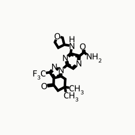 CC1(C)CC(=O)c2c(C(F)(F)F)nn(-c3cnc(C(N)=O)c(NC4CCOC4)n3)c2C1